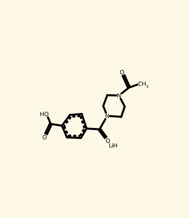 CC(=O)N1CCN(C(=O)c2ccc(C(=O)O)cc2)CC1.[LiH]